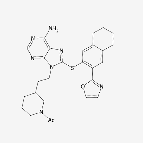 CC(=O)N1CCCC(CCn2c(Sc3cc4c(cc3-c3ncco3)CCCC4)nc3c(N)ncnc32)C1